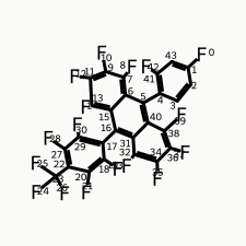 Fc1ccc(-c2c3c(F)c(F)c(F)c(F)c3c(-c3c(F)c(F)c(C(F)(F)F)c(F)c3F)c3c(F)c(F)c(F)c(F)c23)c(F)c1